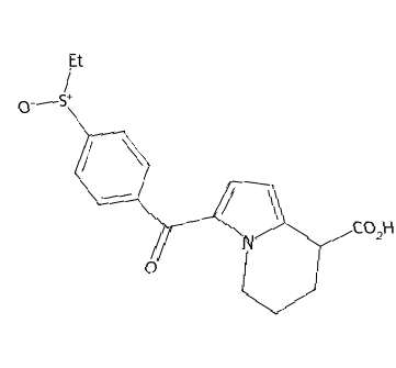 CC[S+]([O-])c1ccc(C(=O)c2ccc3n2CCCC3C(=O)O)cc1